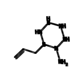 C=CCB1NBNBN1N